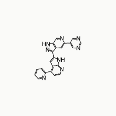 c1ccc(-c2ccnc3[nH]c(-c4n[nH]c5cnc(-c6cncnc6)cc45)cc23)nc1